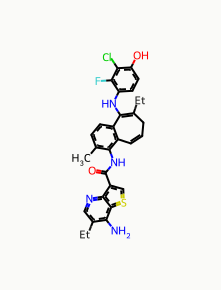 CCC1=C(Nc2ccc(O)c(Cl)c2F)c2ccc(C)c(NC(=O)c3csc4c(N)c(CC)cnc34)c2C=CC1